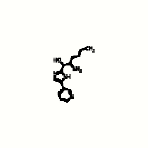 CCCCC(N)C(O)c1ncc(-c2cccnc2)[nH]1